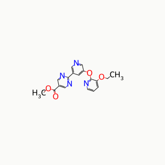 CCOc1cccnc1Oc1cncc(-c2ncc(C(=O)OC)cn2)c1